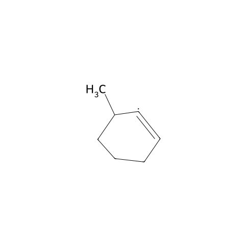 CC1[C]=CCCC1